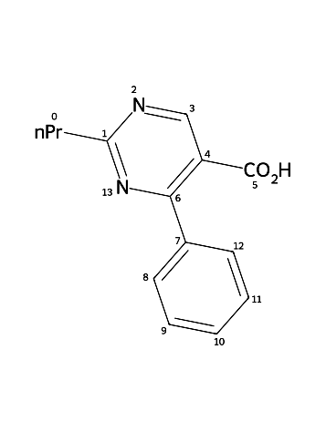 CCCc1ncc(C(=O)O)c(-c2ccccc2)n1